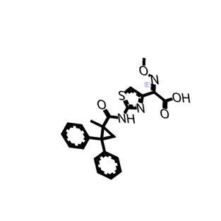 CO/N=C(/C(=O)O)c1csc(NC(=O)C2(C)CC2(c2ccccc2)c2ccccc2)n1